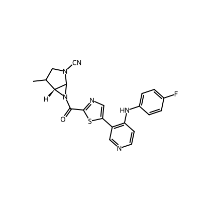 CC1CN(C#N)C2[C@@H]1N2C(=O)c1ncc(-c2cnccc2Nc2ccc(F)cc2)s1